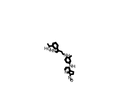 Cc1cc(Nc2ccnc3c2CCC3N=O)ccc1NCCc1c[nH]c2c(C(C)O)cccc12